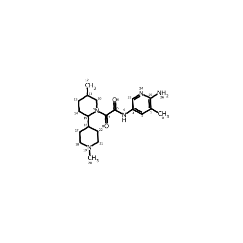 Cc1cc(NC(=O)C(=O)N2CC(C)CCC2C2CCN(C)CC2)cnc1N